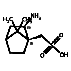 CC1(C)C2CC[C@@]1(CS(=O)(=O)O)[C@H](N)C2